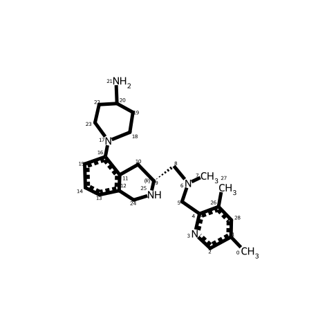 Cc1cnc(CN(C)C[C@H]2Cc3c(cccc3N3CCC(N)CC3)CN2)c(C)c1